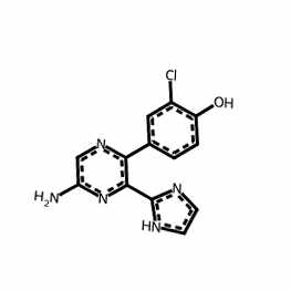 Nc1cnc(-c2ccc(O)c(Cl)c2)c(-c2ncc[nH]2)n1